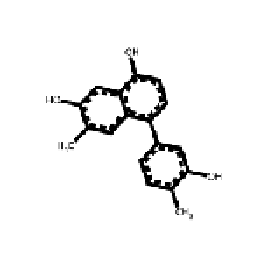 Cc1ccc(-c2ccc(O)c3cc(O)c(C)cc23)cc1O